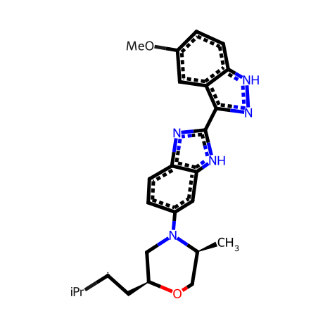 COc1ccc2[nH]nc(-c3nc4ccc(N5C[C@H](C[CH]C(C)C)OC[C@@H]5C)cc4[nH]3)c2c1